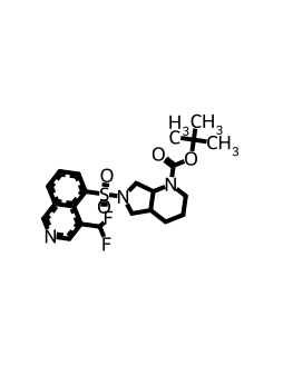 CC(C)(C)OC(=O)N1CCCC2CN(S(=O)(=O)c3cccc4cncc(C(F)F)c34)CC21